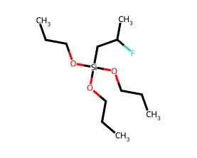 CCCO[Si](CC(C)F)(OCCC)OCCC